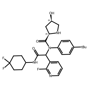 CC(C)(C)c1ccc(N(C(=O)[C@H]2C[C@@H](O)CN2)C(C(=O)NC2CCC(F)(F)CC2)c2cccnc2F)cc1